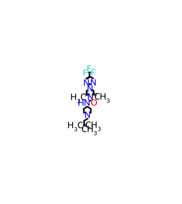 C[C@@H]1CN(c2ncc(C(F)(F)F)cn2)C[C@@H](C)N1C(=O)NC1CCN(CCC(C)(C)C)CC1